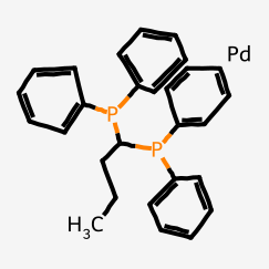 CCCC(P(c1ccccc1)c1ccccc1)P(c1ccccc1)c1ccccc1.[Pd]